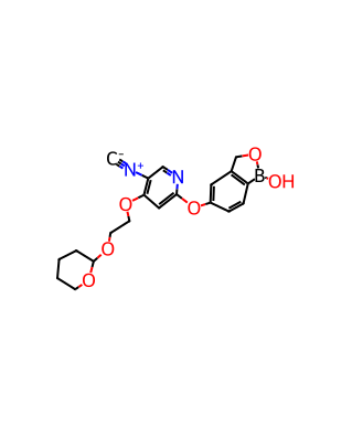 [C-]#[N+]c1cnc(Oc2ccc3c(c2)COB3O)cc1OCCOC1CCCCO1